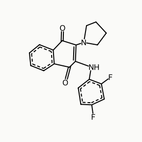 O=C1C(Nc2ccc(F)cc2F)=C(N2CCCC2)C(=O)c2ccccc21